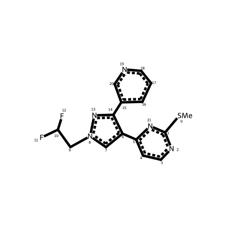 CSc1nccc(-c2cn(CC(F)F)nc2-c2cccnc2)n1